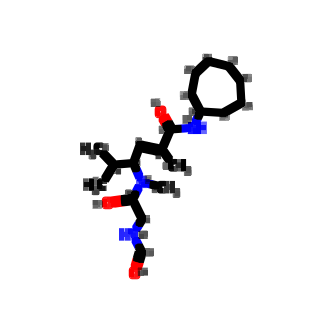 C/C(=C\C(C(C)C)N(C)C(=O)CNC=O)C(=O)NC1CCCCCCC1